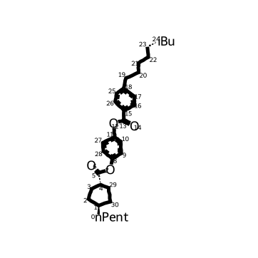 CCCCC[C@H]1CC[C@H](C(=O)Oc2ccc(OC(=O)c3ccc(CCCCC[C@@H](C)CC)cc3)cc2)CC1